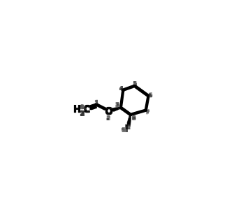 C=CO[C@H]1CCCC[C@H]1F